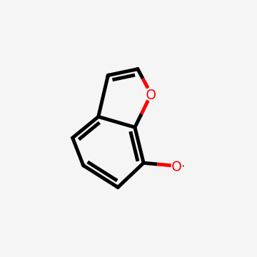 [O]c1cccc2ccoc12